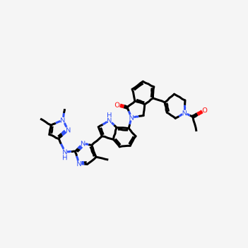 CC(=O)N1CC=C(c2cccc3c2CN(c2cccc4c(-c5nc(Nc6cc(C)n(C)n6)ncc5C)c[nH]c24)C3=O)CC1